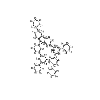 c1ccc(-c2ccc(-c3nc(-c4ccccc4)nc(-c4ccc5c6cc(-c7ccccc7)ccc6n(-c6cccc(-c7cccc(-c8ccccc8)c7)c6)c5c4)n3)cc2)cc1